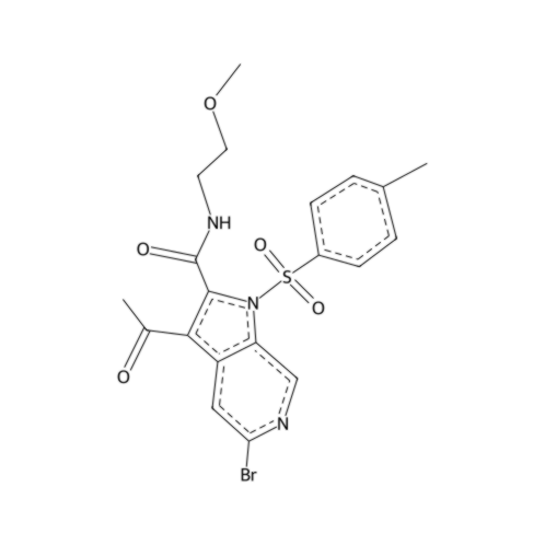 COCCNC(=O)c1c(C(C)=O)c2cc(Br)ncc2n1S(=O)(=O)c1ccc(C)cc1